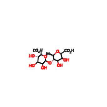 CC[C@H]1OC(C(=O)O)[C@@H](O)C(O)[C@@H]1O[C@@H]1OC(C(=O)O)[C@@H](O)C(O)[C@@H]1O